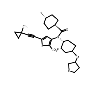 C[C@H]1CC[C@H](C(=O)N(c2cc(C#CC3(C(F)(F)F)CC3)sc2C(=O)O)[C@H]2CC[C@H](OC3CCOC3)CC2)CC1